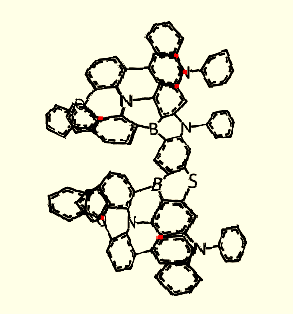 c1ccc(-c2cccc(-c3ccccc3)c2N2c3cc(N(c4ccccc4)c4ccccc4)cc4c3B(c3cc5c(cc3S4)N(c3ccccc3)c3cc(N(c4ccccc4)c4ccccc4)cc4c3B5c3ccc5c(oc6ccccc65)c3N4c3c(-c4ccccc4)cccc3-c3ccccc3)c3ccc4c(oc5ccccc54)c32)cc1